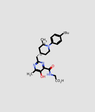 Cc1nc(C[C@H]2CCN(c3ccc(C(C)(C)C)cc3)[C@H](C)C2)nc(C(=O)NCC(=O)O)c1O